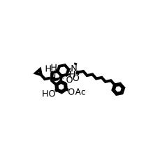 CC(=O)Oc1cc(O)c2c3c1O[C@H]1[C@@H](N(C)C(=O)CCCCCCCc4ccccc4)CC[C@H]4[C@@H](C2)N(CC2CC2)CC[C@@]341